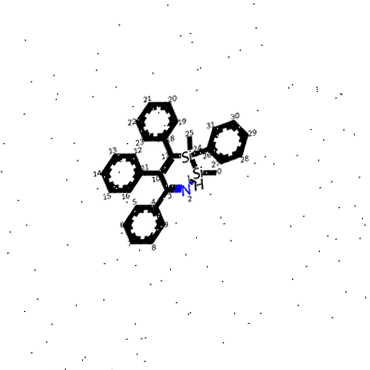 C[SiH]1N=C(c2ccccc2)C(c2ccccc2)=C(c2ccccc2)[Si]1(C)c1ccccc1